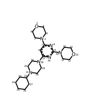 c1c(N2CCOCC2)nc(N2CCOCC2)nc1N1CCN(C2CCCCC2)CC1